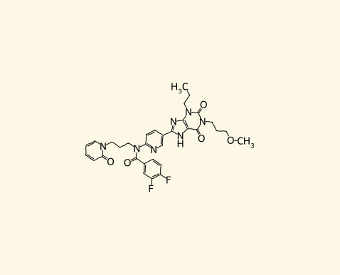 CCCn1c(=O)n(CCCOC)c(=O)c2[nH]c(-c3ccc(N(CCCn4ccccc4=O)C(=O)c4ccc(F)c(F)c4)nc3)nc21